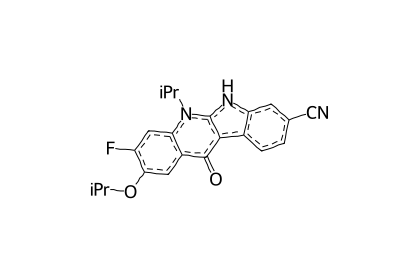 CC(C)Oc1cc2c(=O)c3c4ccc(C#N)cc4[nH]c3n(C(C)C)c2cc1F